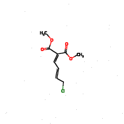 COC(=O)C(=CC=CCCl)C(=O)OC